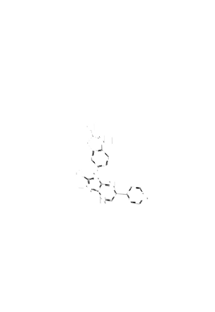 CC1Cc2cc(-n3c(=O)[nH]c4ncc(-c5ccncc5)nc43)ccc2N1